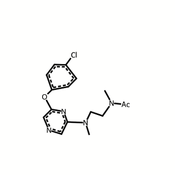 CC(=O)N(C)CCN(C)c1cncc(Oc2ccc(Cl)cc2)n1